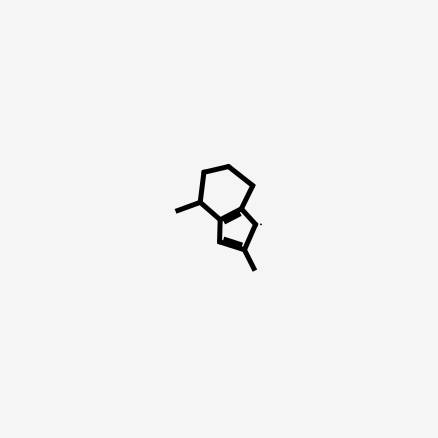 CC1=CC2=C([CH]1)CCCC2C